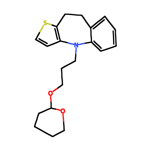 c1ccc2c(c1)CCc1sccc1N2CCCOC1CCCCO1